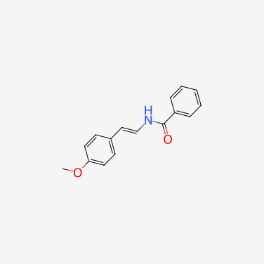 COc1ccc(/C=C/NC(=O)c2ccccc2)cc1